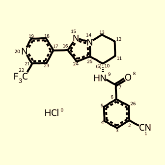 Cl.N#Cc1cccc(C(=O)N[C@H]2CCCn3nc(-c4ccnc(C(F)(F)F)c4)cc32)c1